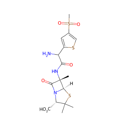 CC1(C)S[C@H]2N(C(=O)[C@]2(C)NC(=O)C(N)c2cc(S(C)(=O)=O)cs2)[C@H]1C(=O)O